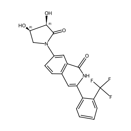 O=C1[C@H](O)[C@H](O)CN1c1ccc2cc(-c3ccccc3C(F)(F)F)[nH]c(=O)c2c1